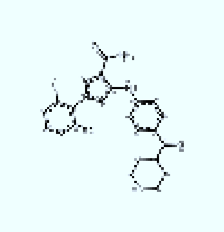 NC(=O)c1nn(-c2c(Cl)cccc2Cl)cc1Nc1ccc(C(=O)N2CCSCC2)cc1